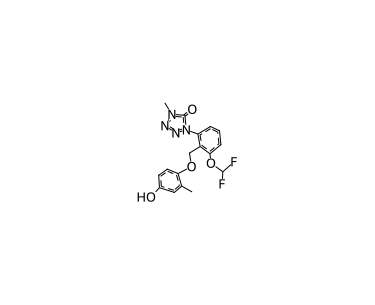 Cc1cc(O)ccc1OCc1c(OC(F)F)cccc1-n1nnn(C)c1=O